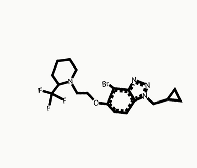 FC(F)(F)C1CCCCN1CCOc1ccc2c(nnn2CC2CC2)c1Br